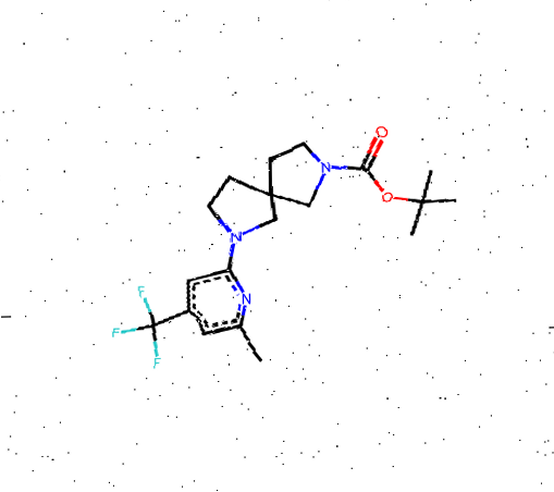 Cc1cc(C(F)(F)F)cc(N2CCC3(CCN(C(=O)OC(C)(C)C)C3)C2)n1